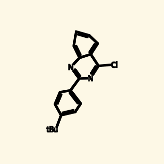 CC(C)(C)c1ccc(-c2nc(Cl)c3ccccc3n2)cc1